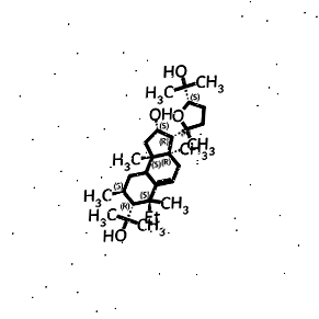 CC[C@]1(C)C2=CC[C@]3(C)[C@@H]([C@@]4(C)CC[C@@H](C(C)(C)O)O4)[C@@H](O)C[C@@]3(C)C2C[C@H](C)[C@H]1C(C)(C)O